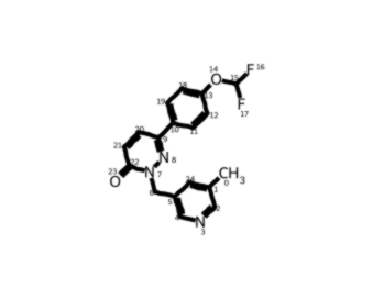 Cc1cncc(Cn2nc(-c3ccc(OC(F)F)cc3)ccc2=O)c1